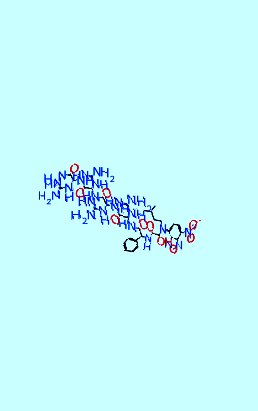 CC(C)CCN(c1ccc([N+](=O)[O-])c2nonc12)C(O)C(=O)NC(C(=O)NC(NC(=N)N)C(=O)NC(NC(=N)N)C(=O)NC(NC(=N)N)C(=O)NC(NC(=N)N)C(N)=O)c1ccccc1